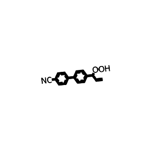 C=CC(OO)c1ccc(-c2ccc(C#N)cc2)cc1